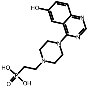 O=P(O)(O)CCN1CCN(c2ncnc3ccc(O)cc23)CC1